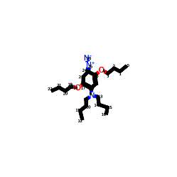 CCCCOC1=CC(N(CCCC)CCCC)=C(OCCCC)CC1=[N+]=[N-]